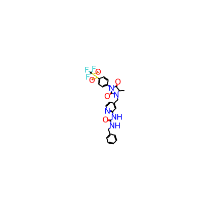 CC1C(=O)N(c2ccc(S(=O)(=O)C(F)(F)F)cc2)C(=O)N1Cc1ccnc(NC(=O)NCc2ccccc2)c1